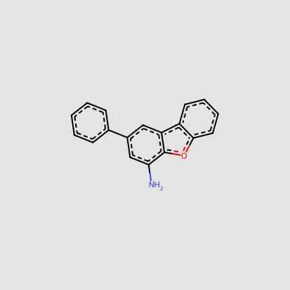 Nc1cc(-c2ccccc2)cc2c1oc1ccccc12